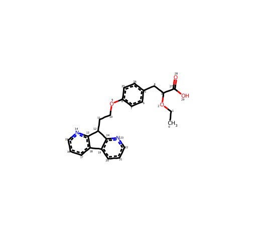 CCOC(Cc1ccc(OCCC2c3ncccc3-c3cccnc32)cc1)C(=O)O